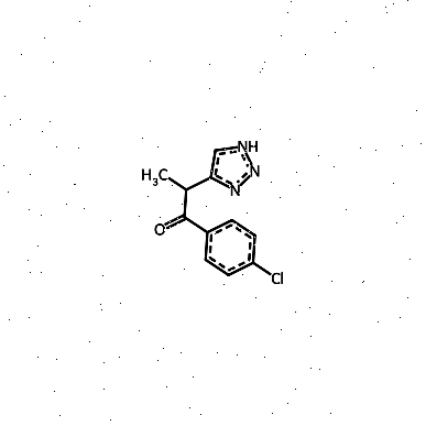 CC(C(=O)c1ccc(Cl)cc1)c1c[nH]nn1